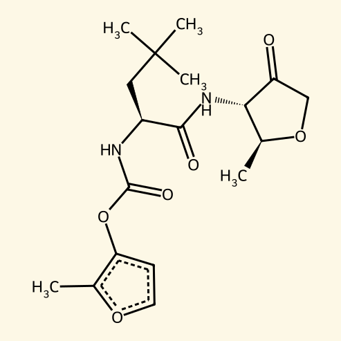 Cc1occc1OC(=O)N[C@@H](CC(C)(C)C)C(=O)N[C@@H]1C(=O)CO[C@H]1C